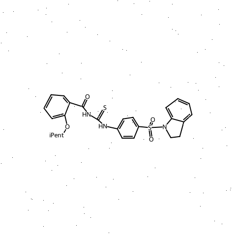 CCCC(C)Oc1ccccc1C(=O)NC(=S)Nc1ccc(S(=O)(=O)N2CCc3ccccc32)cc1